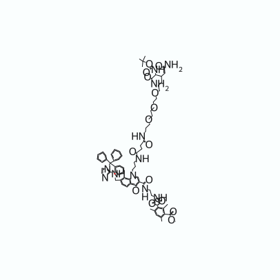 COC(=O)c1c(C)cc(C)c(S(=O)(=O)NCCNC(=O)c2cn(CCCNC(=O)CCC(=O)NCCCOCCOCCOCCCC(CC(N)=O)C(NC(=O)OC(C)(C)C)C(N)=O)c3cc(CNc4nccn4C(c4ccccc4)(c4ccccc4)c4ccccc4)ccc3c2=O)c1C